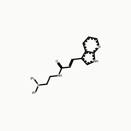 CC(C)N(CCNC(=O)/C=C/c1c[nH]c2ncccc12)C(C)C